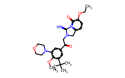 CCOc1ccc2n(c1=O)C(=N)N(CC(=O)c1cc(N3CCOCC3)c(OC)c(C(C)(C)C)c1)C2